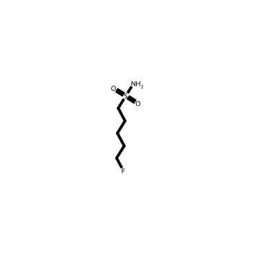 NS(=O)(=O)CCCCCF